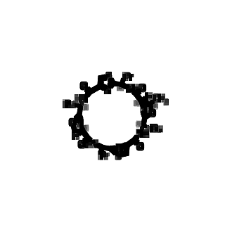 CC[C@H](C)[C@@H]1NC(=O)c2csc(n2)[C@@H](C(C)C)NC(=O)[C@H]2N=C(O[C@@H]2C)[C@H]([C@@H](C)CC)NC(=O)c2csc(n2)C(C(C)C)NC(=O)[C@@H]2COC1=N2